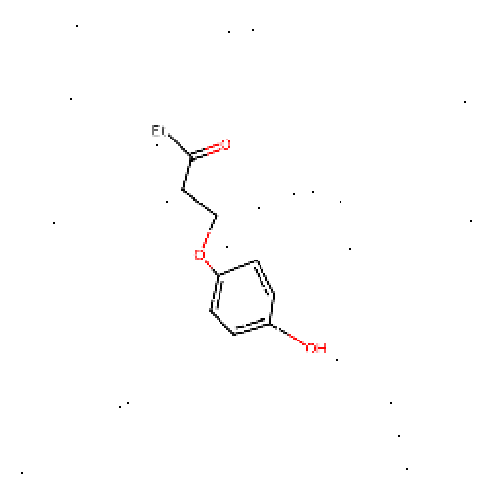 CCC(=O)CCOc1ccc(O)cc1